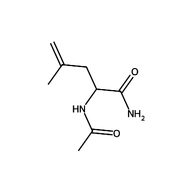 C=C(C)CC(NC(C)=O)C(N)=O